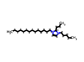 CCCCCCCCCCCCCCN1C=CN(CCCCC)C1CCC